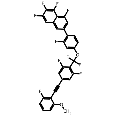 COc1cccc(F)c1C#Cc1cc(F)c(C(F)(F)Oc2ccc(-c3cc(F)c4c(F)c(F)c(F)cc4c3)c(F)c2)c(F)c1